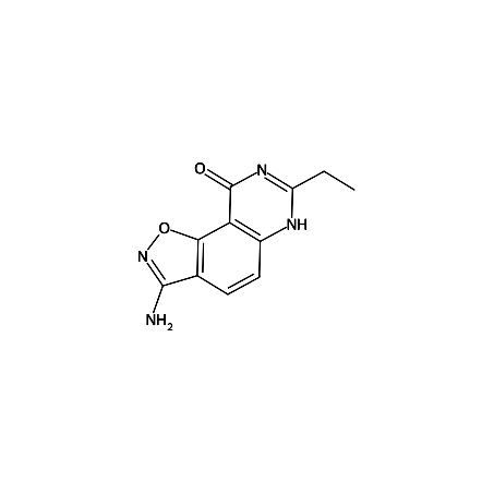 CCc1nc(=O)c2c(ccc3c(N)noc32)[nH]1